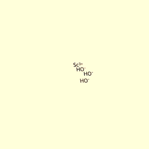 [OH-].[OH-].[OH-].[Sc+3]